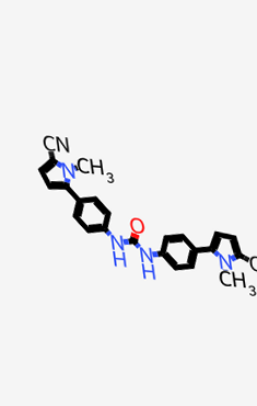 Cn1c(C#N)ccc1-c1ccc(NC(=O)Nc2ccc(-c3ccc(C#N)n3C)cc2)cc1